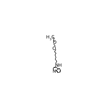 CCCOCCOCCCCCCCCNc1ccnc2ccccc12